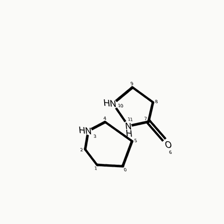 C1CCNCC1.O=C1CCNN1